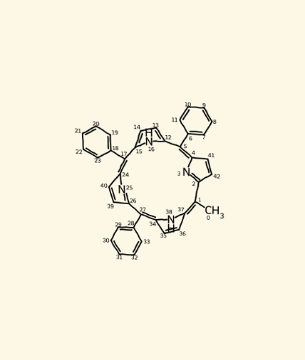 Cc1c2nc(c(-c3ccccc3)c3ccc([nH]3)c(-c3ccccc3)c3nc(c(-c4ccccc4)c4ccc1[nH]4)C=C3)C=C2